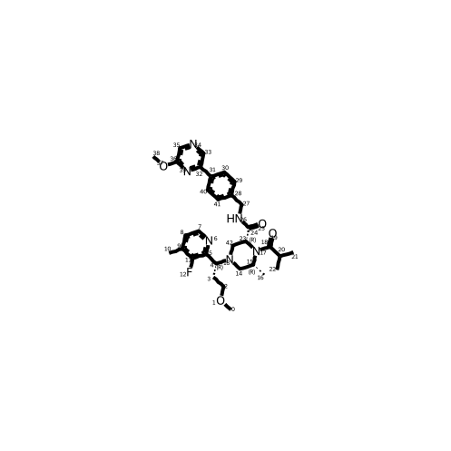 COCC[C@H](c1nccc(C)c1F)N1C[C@@H](C)N(C(=O)C(C)C)[C@@H](C(=O)NCc2ccc(-c3cncc(OC)n3)cc2)C1